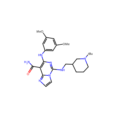 COc1cc(Nc2nc(NCC3CCCN(C(C)(C)C)C3)n3ccnc3c2C(N)=O)cc(OC)c1